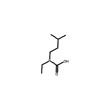 CCN(CCC(C)C)C(=O)O